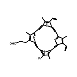 C=CC1=C(C)c2cc3[nH]c(cc4nc(cc5[nH]c(cc1n2)c(C)c5CCC)C(CCC=O)=C4C)c(C)c3C=C